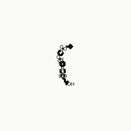 CC(C)(O)CCCS(=O)(=O)N1CCN(c2ccc3nc(OC4CCN(C(=O)OCC5CCC5)CC4)sc3c2)CC1